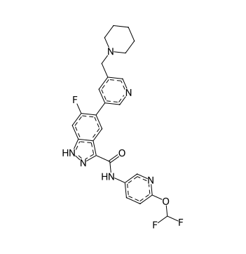 O=C(Nc1ccc(OC(F)F)nc1)c1n[nH]c2cc(F)c(-c3cncc(CN4CCCCC4)c3)cc12